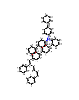 C(=C/c1ccccc1)/C=C/C(=C\c1ccc(-c2ccc(-c3ccccc3N(c3ccc(-c4ccccc4)cc3)c3ccc(-c4ccccc4)cc3)cc2)cc1)c1ccccc1